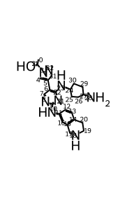 CC(O)n1cc(-c2cnc(Nc3ccc4c(c3)CNCC4)nc2NC2CCC(N)CC2)cn1